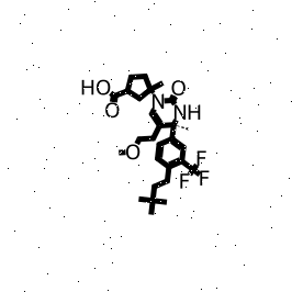 COCCC1=CN(C2(C)CCC(C(=O)O)C2)C(=O)N[C@@]1(C)c1ccc(CCC(C)(C)C)c(C(F)(F)F)c1